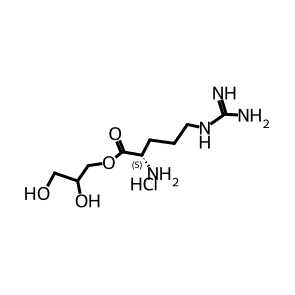 Cl.N=C(N)NCCC[C@H](N)C(=O)OCC(O)CO